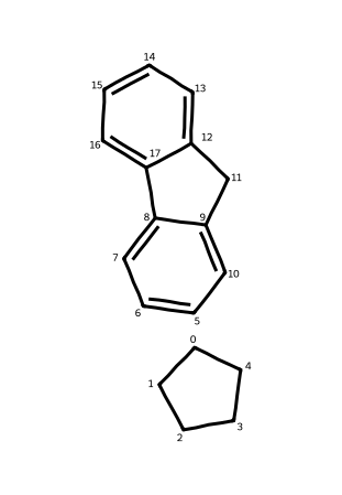 C1CCCC1.c1ccc2c(c1)Cc1ccccc1-2